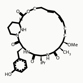 CO[C@@H]1CC/C=C\C=C\CCOC(=O)[C@@H]2CCCN(N2)C(=O)[C@H](Cc2cccc(O)c2)NC(=O)[C@H](C(C)C)NC(=O)[C@@H]1C